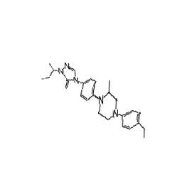 C=C1N(c2ccc(N3CCN(c4ccc(CC)cc4)CC3C)cc2)C=NN1C(C)CC